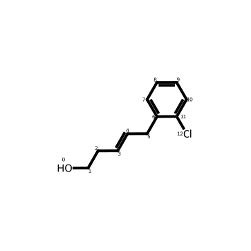 OCCC=CCc1ccccc1Cl